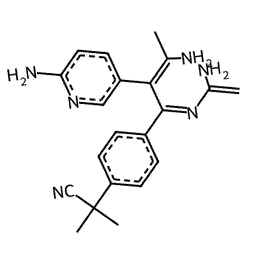 C=C(N)/N=C(\C(=C(\C)N)c1ccc(N)nc1)c1ccc(C(C)(C)C#N)cc1